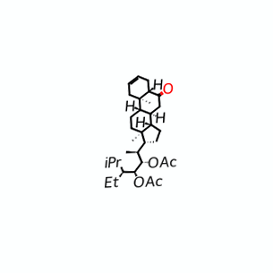 CC[C@@H](C(C)C)[C@H](OC(C)=O)[C@@H](OC(C)=O)[C@@H](C)[C@H]1CC[C@H]2[C@@H]3CC(=O)[C@H]4CC=CC[C@]4(C)[C@H]3CC[C@]12C